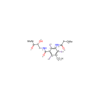 CNC(=O)C(O)CNC(=O)c1c(I)c(NC(=O)COC)c(I)c(C(=O)O)c1I